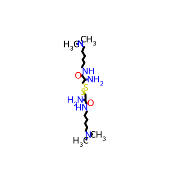 CN(C)CCCCCCNC(=O)C(N)CSSCC(N)C(=O)NCCCCCCN(C)C